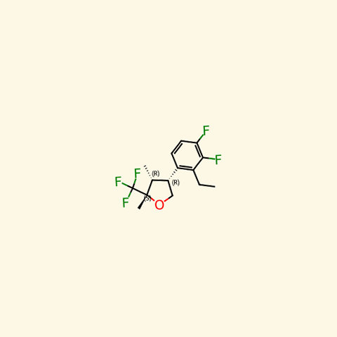 CCc1c([C@@H]2CO[C@](C)(C(F)(F)F)[C@@H]2C)ccc(F)c1F